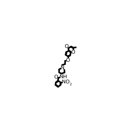 Cc1cc(=O)c2ccc(OCCCN3CCC(NC(=O)c4ccccc4[N+](=O)[O-])CC3)cc2o1